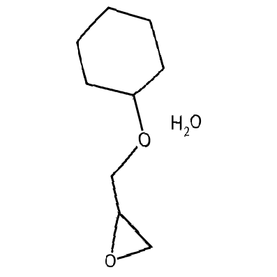 C1CCC(OCC2CO2)CC1.O